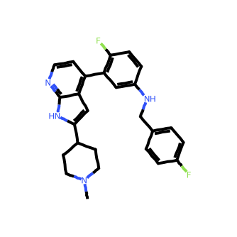 CN1CCC(c2cc3c(-c4cc(NCc5ccc(F)cc5)ccc4F)ccnc3[nH]2)CC1